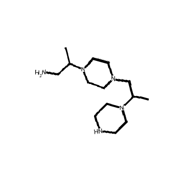 CC(CN)N1CCN(CC(C)N2CCNCC2)CC1